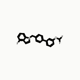 Fc1cccc2c1ccn2Cc1ccc(-c2cccc(OC(F)F)c2)cc1